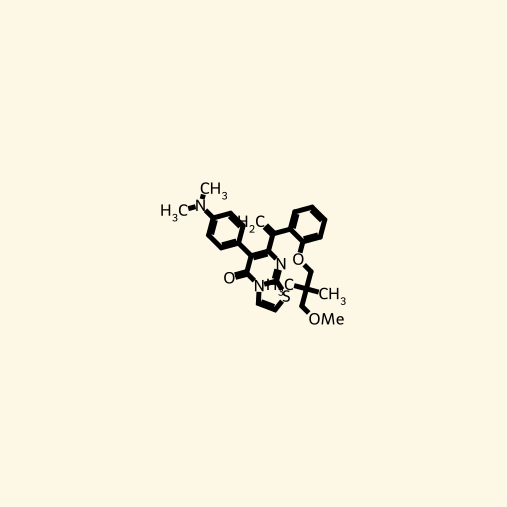 C=C(c1ccccc1OCC(C)(C)COC)c1nc2sccn2c(=O)c1-c1ccc(N(C)C)cc1